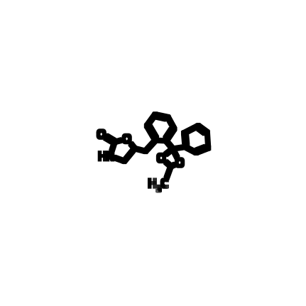 CC1OC(c2ccccc2)(c2ccccc2CC2CNC(=O)O2)O1